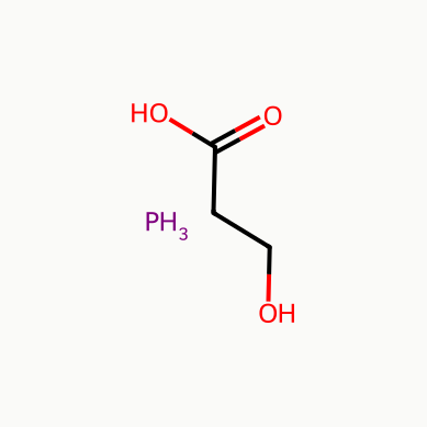 O=C(O)CCO.P